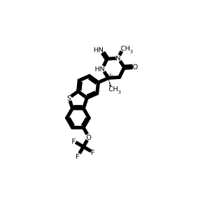 CN1C(=N)N[C@](C)(c2ccc3sc4ccc(OC(F)(F)F)cc4c3c2)CC1=O